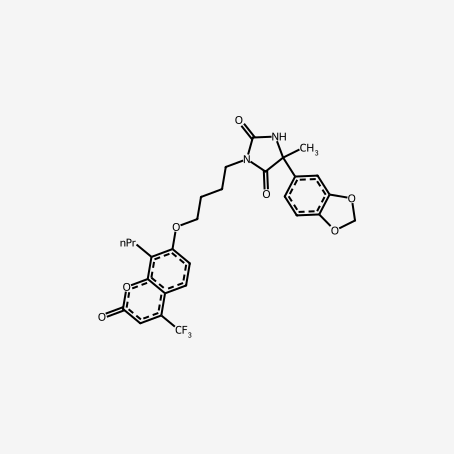 CCCc1c(OCCCCN2C(=O)NC(C)(c3ccc4c(c3)OCO4)C2=O)ccc2c(C(F)(F)F)cc(=O)oc12